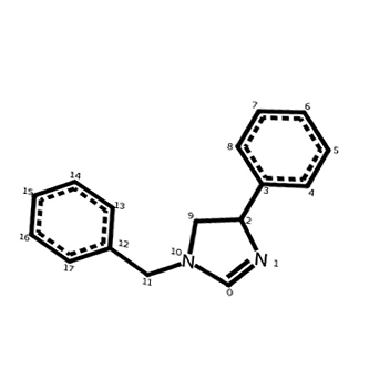 C1=NC(c2ccccc2)CN1Cc1ccccc1